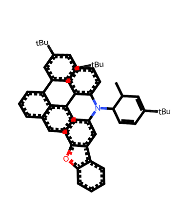 CC1C=C(C(C)(C)C)C=CC1N(c1ccc2oc3ccccc3c2c1)c1ccccc1-c1cccc2cccc(-c3cc(C(C)(C)C)cc(C(C)(C)C)c3)c12